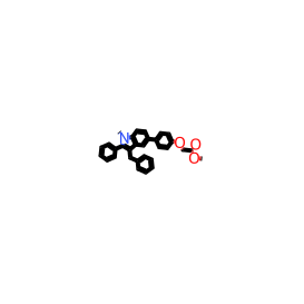 COC(=O)COc1ccc(-c2ccc3c(c2)c(Cc2ccccc2)c(-c2ccccc2)n3C)cc1